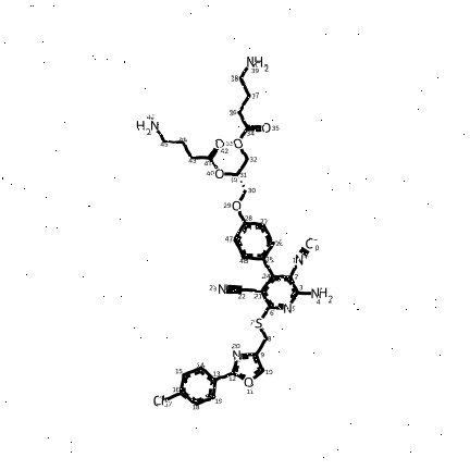 [C-]#[N+]c1c(N)nc(SCc2coc(-c3ccc(Cl)cc3)n2)c(C#N)c1-c1ccc(OC[C@@H](COC(=O)CCCN)OC(=O)CCCN)cc1